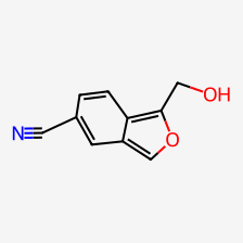 N#Cc1ccc2c(CO)occ2c1